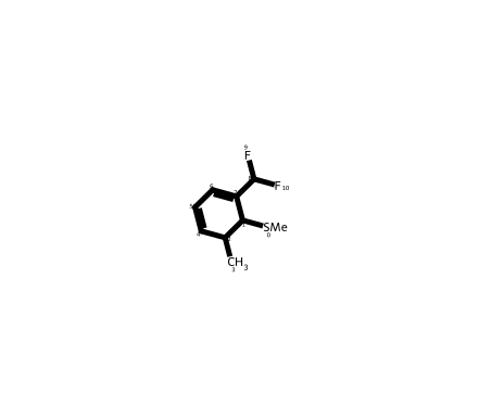 CSC1[C](C)C=CC=C1C(F)F